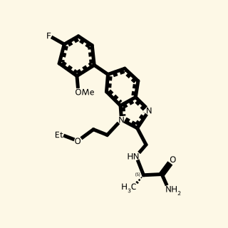 CCOCCn1c(CN[C@@H](C)C(N)=O)nc2ccc(-c3ccc(F)cc3OC)cc21